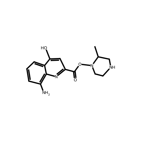 CC1CNCCN1OC(=O)c1cc(O)c2cccc(N)c2n1